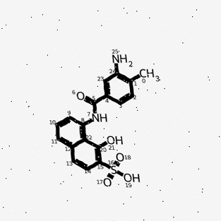 Cc1ccc(C(=O)Nc2cccc3ccc(S(=O)(=O)O)c(O)c23)cc1N